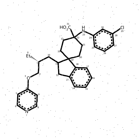 CC[C@@H](COc1ccncc1)CC1Cc2ccccc2C12CCC(Nc1cccc(Cl)c1)(C(=O)O)CC2